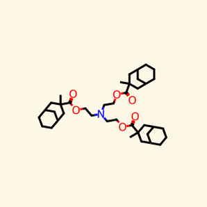 CC1(C(=O)OCCN(CCOC(=O)C2(C)CC3CCCC(C3)C2)CCOC(=O)C2(C)CC3CCCC(C3)C2)CC2CCCC(C2)C1